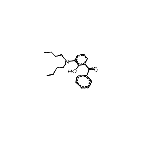 CCCCN(CCCC)c1cccc(C(=O)c2ccccc2)c1O